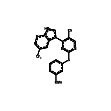 COc1cccc(Sc2ncc(C#N)c(-c3c[nH]c4ncc(C(F)(F)F)cc34)n2)c1